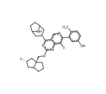 Cc1ccc(O)cc1-c1ncc2c(N3CC4CCC(C3)N4)nc(OC[C@@]34CCCN3C[C@H](F)C4)nc2c1F